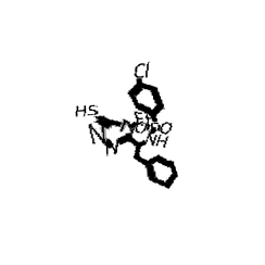 CCn1c(S)nnc1C(Cc1ccccc1)NS(=O)(=O)c1ccc(Cl)cc1